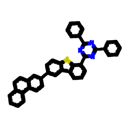 c1ccc(-c2nc(-c3ccccc3)nc(-c3cccc4c3sc3ccc(-c5ccc6c(ccc7ccccc76)c5)cc34)n2)cc1